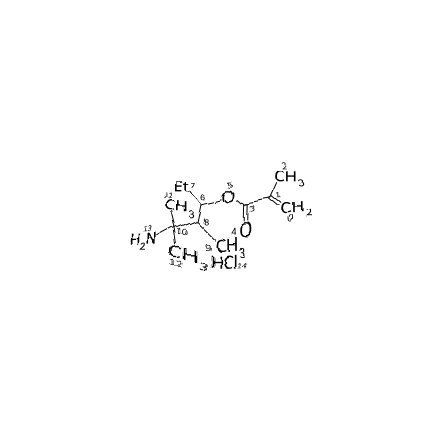 C=C(C)C(=O)OC(CC)C(C)C(C)(C)N.Cl